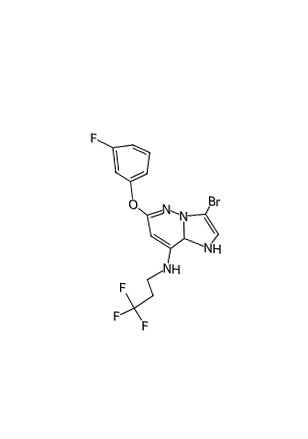 Fc1cccc(OC2=NN3C(Br)=CNC3C(NCCC(F)(F)F)=C2)c1